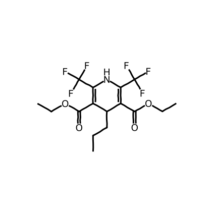 CCCC1C(C(=O)OCC)=C(C(F)(F)F)NC(C(F)(F)F)=C1C(=O)OCC